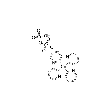 [O]=[Cr](=[O])([OH])[O][Cr](=[O])(=[O])[OH].c1cc[c]([Co]([c]2ccccn2)([c]2ccccn2)[c]2ccccn2)nc1